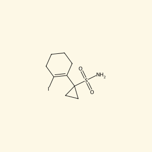 NS(=O)(=O)C1(C2=C(I)CCCC2)CC1